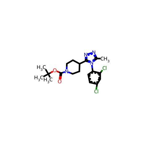 Cc1nnc(C2CCN(C(=O)OC(C)(C)C)CC2)n1-c1ccc(Cl)cc1Cl